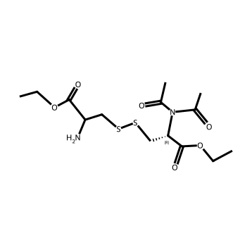 CCOC(=O)C(N)CSSC[C@@H](C(=O)OCC)N(C(C)=O)C(C)=O